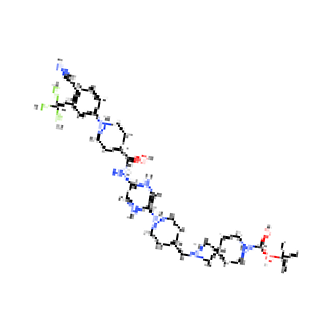 CC(C)(C)OC(=O)N1CCC2(CC1)CN(CC1CCN(c3cnc(NC(=O)C4CCN(c5ccc(C#N)c(C(F)(F)F)c5)CC4)cn3)CC1)C2